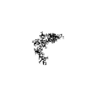 C#CC(O)(/C=C/Cl)CC.CC1OC(C)OC(C)O1.CCC(Br)(CC)C(=O)NC(=O)NC(C)=O.CCC1(c2ccccc2)CCC(=O)NC1=O.Cc1ccc(-c2nc3ccc(C)cn3c2CC(=O)N(C)C)cc1.OC(O)C(Cl)(Cl)Cl